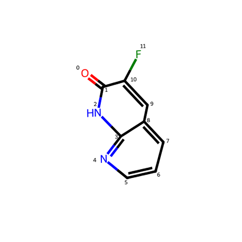 O=c1[nH]c2ncccc2cc1F